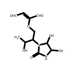 CC(O)C(CO/C(C=O)=C\C=O)N1C(=O)NC(O)C1O